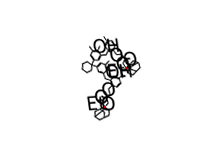 CCC1(OC(=O)COc2ccc(C)cc2Cc2cc(C3(c4cc(C)c(O)c(Cc5cc(C)ccc5OCC(=O)OC5(CC)C6CC7CC(C6)CC5C7)c4)CCCCC3)cc(C)c2O)C2CC3CC(C2)CC1C3